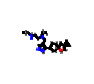 CNCCN(C)Cc1c[nH]nc1[C@H]1CC[C@]2(CC1)CC1(CC1)CO2